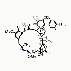 COc1cc2cc(c1Cl)N(C)C(=O)CC(OC(=O)[C@H](C)N(C)C(=O)c1cc(F)c(N)cc1Cl)[C@]1(C)O[C@H]1[C@H](C)[C@@H]1C[C@@](O)(NC(=O)O1)[C@H](OC)/C=C/C=C(\C)C2